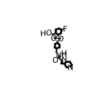 O=C(NCc1ccc(S(=O)(=O)c2cc(F)ccc2CO)cc1)c1cc2cnccc2[nH]1